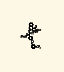 CCC(=NOCc1ccccc1C(=COC)C(=O)OC)C(=NOC)c1ccc(OCc2cccc(C(F)(F)F)c2)cc1